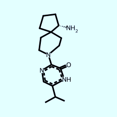 CC(C)c1cnc(N2CCC3(CCC[C@@H]3N)CC2)c(=O)[nH]1